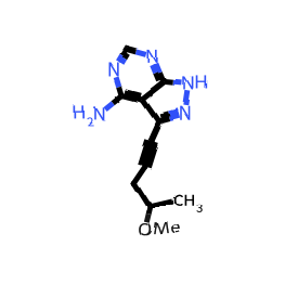 COC(C)CC#Cc1n[nH]c2ncnc(N)c12